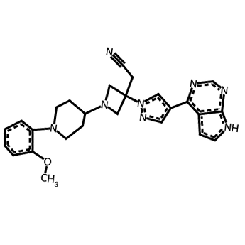 COc1ccccc1N1CCC(N2CC(CC#N)(n3cc(-c4ncnc5[nH]ccc45)cn3)C2)CC1